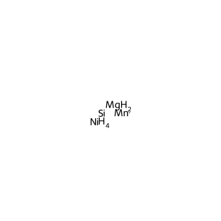 [MgH2].[Mn].[Ni].[SiH4]